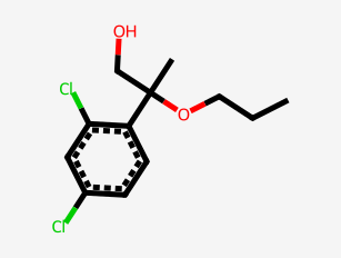 CCCOC(C)(CO)c1ccc(Cl)cc1Cl